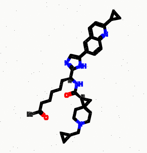 CCC(=O)CCCCC[C@H](NC(=O)[C@H]1CC12CCN(CC1CC1)CC2)c1ncc(-c2ccc3nc(C4CC4)ccc3c2)[nH]1